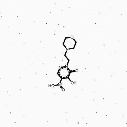 O=c1c(O)c([N+](=O)O)cnn1CCN1CCOCC1